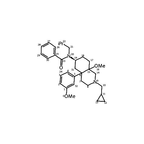 COc1cccc(C23CCN(CC4CC4)CC2(OC)CC[C@H](N(CC(C)C)C(=O)c2ccccc2)C3)c1